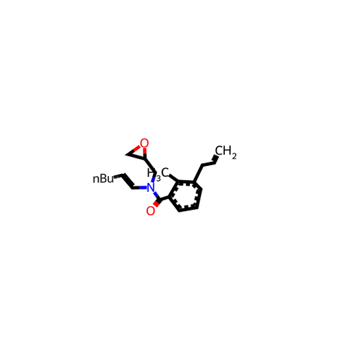 C=CCc1cccc(C(=O)N(C=CCCCC)CC2CO2)c1C